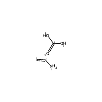 C=CN.O=C(O)O